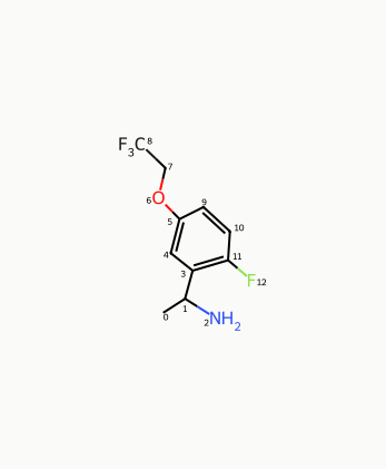 CC(N)c1cc(OCC(F)(F)F)ccc1F